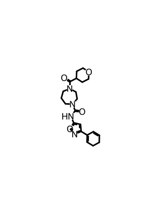 O=C(Nc1cc(C2=CCCC=C2)no1)N1CCCN(C(=O)C2CCOCC2)CC1